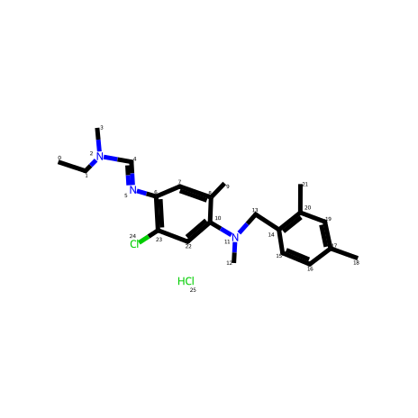 CCN(C)C=Nc1cc(C)c(N(C)Cc2ccc(C)cc2C)cc1Cl.Cl